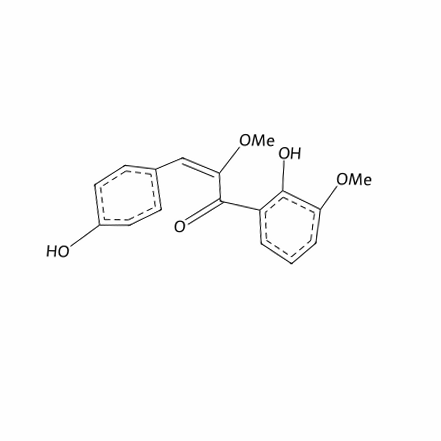 COC(=Cc1ccc(O)cc1)C(=O)c1cccc(OC)c1O